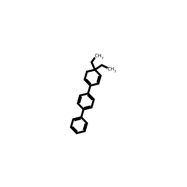 CCC1(CC)C=CC(c2ccc(-c3ccccc3)cc2)=CC1